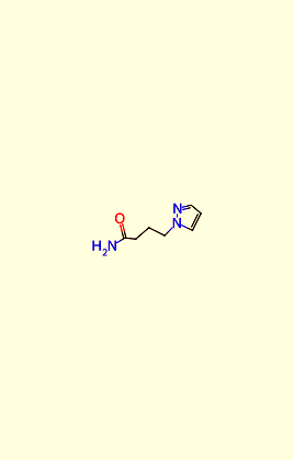 NC(=O)CCCn1cccn1